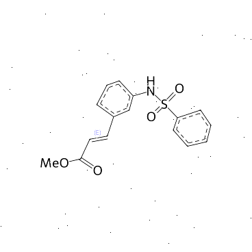 COC(=O)/C=C/c1cccc(NS(=O)(=O)c2ccccc2)c1